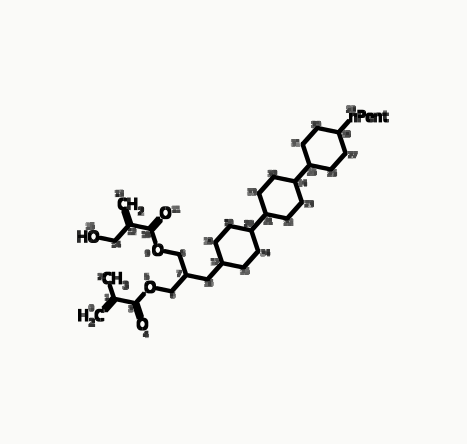 C=C(C)C(=O)OCC(COC(=O)C(=C)CO)CC1CCC(C2CCC(C3CCC(CCCCC)CC3)CC2)CC1